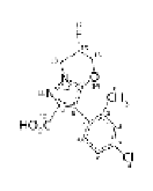 Cc1cc(Cl)ccc1-c1c(C(=O)O)nn2c1OC[C@@H](F)C2